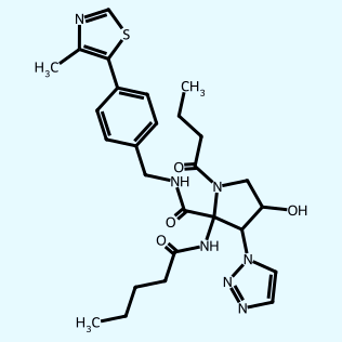 CCCCC(=O)NC1(C(=O)NCc2ccc(-c3scnc3C)cc2)C(n2ccnn2)C(O)CN1C(=O)CCC